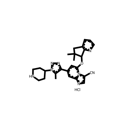 Cc1c(-c2cc(OC3c4ncccc4CC3(C)C)n3c(C#N)cnc3c2)nnn1C1CCNCC1.Cl